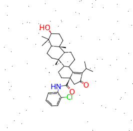 CC(C)C1=C2C3CCC4[C@@](C)(CCC5C(C)(C)[C@@H](O)CC[C@@]54C)C3CC[C@@]2(C(=O)Nc2ccccc2Cl)CC1=O